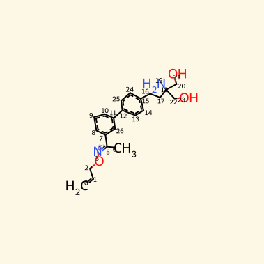 C=CCO/N=C(\C)c1cccc(-c2ccc(CCC(N)(CO)CO)cc2)c1